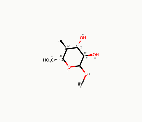 CC(C)OC1O[C@H](C(=O)O)[C@@H](C)[C@H](O)[C@H]1O